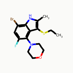 CCSc1c(C)[nH]c2c(Br)cc(F)c(N3CCOCC3)c12